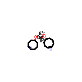 CC(C)[Si](OC1CC/C=C\CCC1)(OC1CC/C=C\CCC1)C(C)C